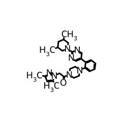 Cc1cc(C)n(CC(=O)N2CCN(c3ccccc3-c3cnc(N4CC(C)CC(C)C4)nc3)CC2)n1